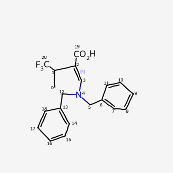 CC(/C(=C\N(Cc1ccccc1)Cc1ccccc1)C(=O)O)C(F)(F)F